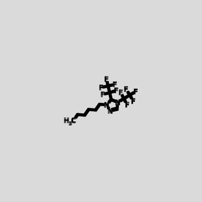 CCCCCCN1N=CN(C(F)(F)C(F)(F)F)C1C(F)(F)C(F)(F)F